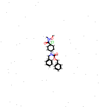 CON(C)C(=O)[C@]1(Cl)CC[C@H](N(Cc2ccccc2)C(=O)OCc2ccccc2)CC1